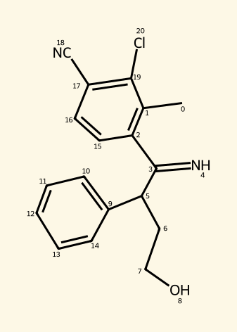 Cc1c(C(=N)C(CCO)c2ccccc2)ccc(C#N)c1Cl